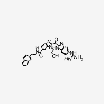 N=C(N)Nc1ccc2[nH]c(C(=O)c3nc4ccc(C(=O)NCCc5ccc6ccccc6c5)cc4n3CCO)nc2c1